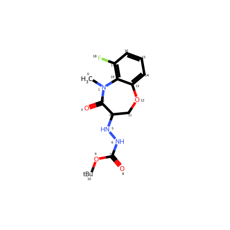 CN1C(=O)C(NNC(=O)OC(C)(C)C)COc2cccc(F)c21